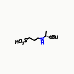 C[C@@H](NCCCS(=O)(=O)O)C(C)(C)C